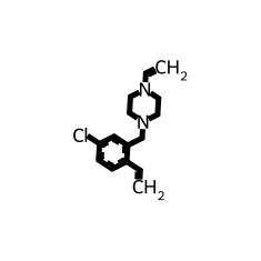 C=Cc1ccc(Cl)cc1CN1CCN(C=C)CC1